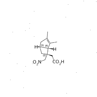 CC1=C(C)[C@H]2[C@@H](C1)C[C@@]2(CC(=O)O)C[N+](=O)[O-]